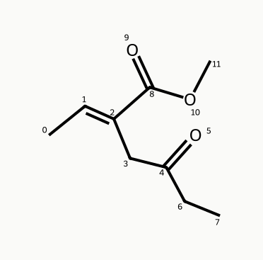 C/C=C(\CC(=O)CC)C(=O)OC